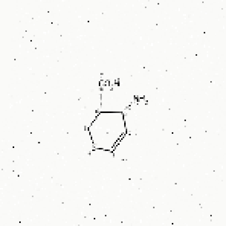 N[C@@H]1C=CSC[C@@H]1C(=O)O